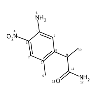 Cc1cc([N+](=O)[O-])c(N)cc1C(C)C(N)=O